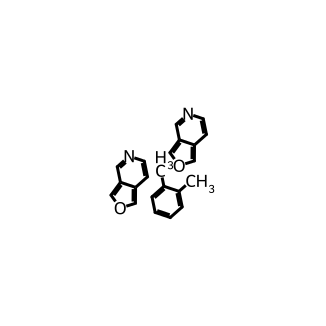 Cc1ccccc1C.c1cc2cocc2cn1.c1cc2cocc2cn1